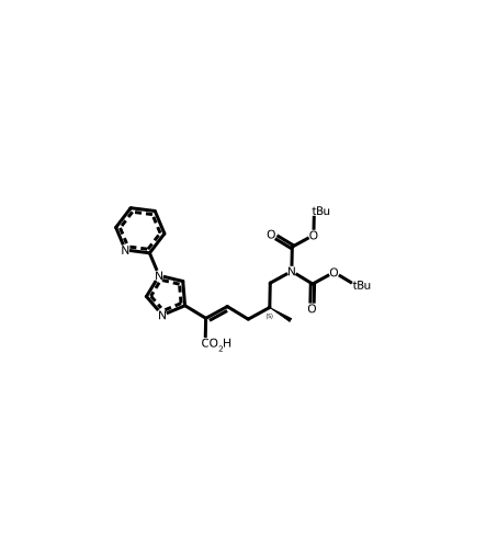 C[C@@H](CC=C(C(=O)O)c1cn(-c2ccccn2)cn1)CN(C(=O)OC(C)(C)C)C(=O)OC(C)(C)C